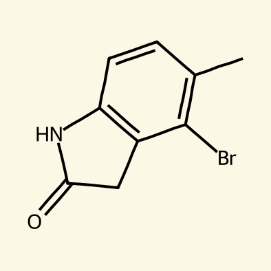 Cc1ccc2c(c1Br)CC(=O)N2